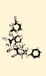 C=C(C)[C@@]1(O)[C@H](O)[C@@H](COP(=O)(N[C@@H](CCC)C(=O)OC(C)C)Oc2ccccc2)O[C@H]1n1ccc(=O)[nH]c1=O